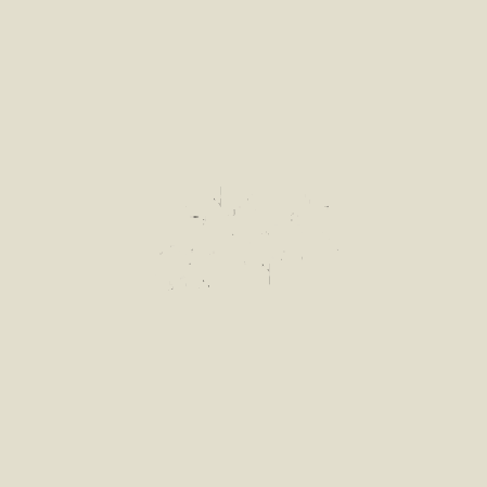 COc1cc2[nH]cc(C3=C(c4c[nH]c5ccccc45)C(=O)NC3=O)c2cc1OC